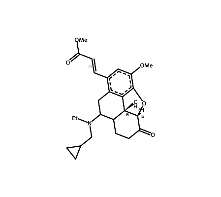 CCN(CC1CC1)C1Cc2c(/C=C/C(=O)OC)cc(OC)c3c2[C@@]2(C)C1CCC(=O)[C@H]2O3